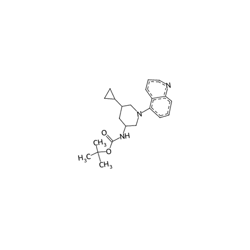 CC(C)(C)OC(=O)NC1CC(C2CC2)CN(c2cccc3ncccc23)C1